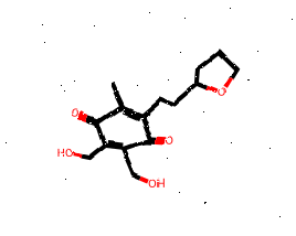 CC1=C(CCC2CCCO2)C(=O)C(CO)=C(CO)C1=O